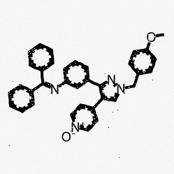 COc1ccc(Cn2cc(-c3cc[n+]([O-])cc3)c(-c3cccc(N=C(c4ccccc4)c4ccccc4)c3)n2)cc1